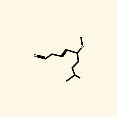 COC(C=CCC=O)CCC(C)C